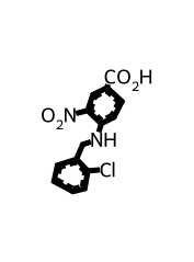 O=C(O)c1ccc(NCc2ccccc2Cl)c([N+](=O)[O-])c1